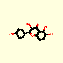 O=c1c(O)c(-c2ccc(O)cc2)oc2ccc(O)c(O)c12